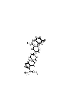 CC(C)n1ncc2c1CCC1(CCN([C@H]3CO[C@H](c4cc(F)ccc4F)[C@@H](N)C3)CC1)C2